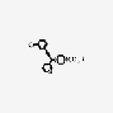 O=C(O)N1CCN(C(C#Cc2cccc(Cl)c2)c2cccnc2)CC1